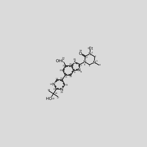 CCN1CN(C)CN(c2nc3cc(-c4cnc(C(C)(C)O)nc4)cc(C=O)c3s2)C1=O